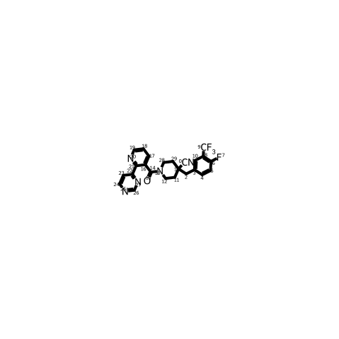 N#CC1(Cc2ccc(F)c(C(F)(F)F)c2)CCN(C(=O)c2cccnc2-c2ccncn2)CC1